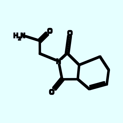 NC(=O)CN1C(=O)C2C=CCCC2C1=O